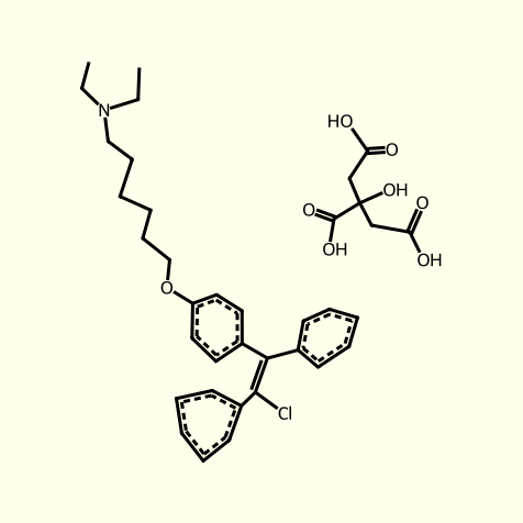 CCN(CC)CCCCCCOc1ccc(/C(=C(/Cl)c2ccccc2)c2ccccc2)cc1.O=C(O)CC(O)(CC(=O)O)C(=O)O